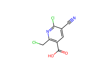 N#Cc1cc(C(=O)O)c(CCl)nc1Cl